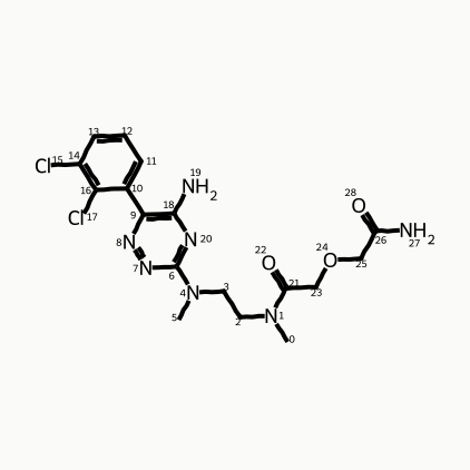 CN(CCN(C)c1nnc(-c2cccc(Cl)c2Cl)c(N)n1)C(=O)COCC(N)=O